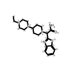 CCN1CCN(C2CCN(C(C(N)=O)c3nc4ccccc4s3)CC2)CC1